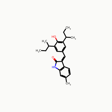 CCC(C)c1cc(C=C2C(=O)Nc3cc(C)ccc32)cc(C(C)CC)c1O